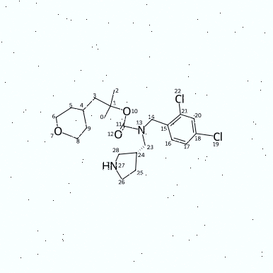 CC(C)(CC1CCOCC1)OC(=O)N(Cc1ccc(Cl)cc1Cl)C[C@@H]1CCNC1